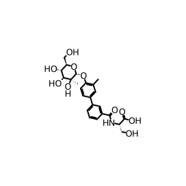 Cc1cc(-c2cccc(C(=O)N[C@@H](CO)C(=O)O)c2)ccc1O[C@H]1O[C@H](CO)[C@@H](O)[C@H](O)[C@]1(C)O